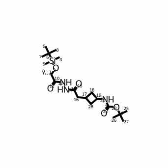 C[C@H](O[Si](C)(C)C(C)(C)C)C(=O)NNC(=O)CC1CC(NC(=O)OC(C)(C)C)C1